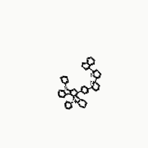 c1ccc(-n2c3ccccc3c3c2cc(-c2ccc(-c4cccc(-c5cccc(-c6cccc7ccccc67)n5)n4)cc2)c2c4ccccc4n(-c4ccccc4)c23)cc1